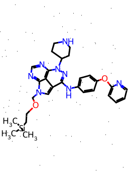 C[Si](C)(C)CCOCn1cc2c3c(ncnc31)N(C1CCNCC1)N=C2Nc1ccc(Oc2ccccn2)cc1